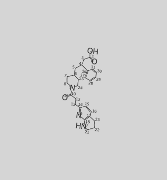 O=C(O)CC(CC1CCN(C(=O)CCc2ccc3c(n2)NCCC3)CC1)c1ccccc1